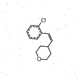 Clc1ccccc1/C=C\C1CCOCC1